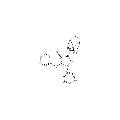 C[N+]1(C)C2CCC1CC(N1CC(c3ccccc3)N(Cc3ccccc3)C1=O)C2